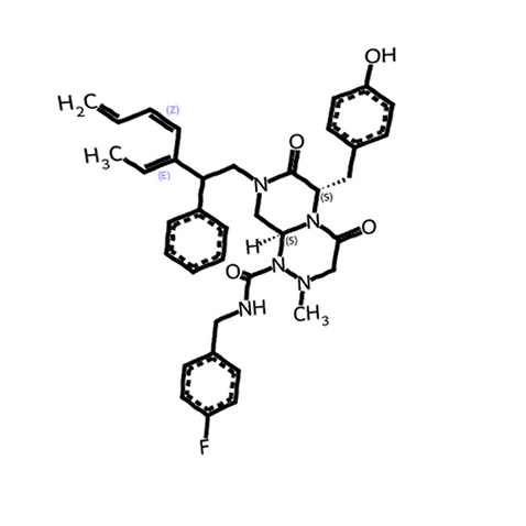 C=C/C=C\C(=C/C)C(CN1C[C@H]2N(C(=O)CN(C)N2C(=O)NCc2ccc(F)cc2)[C@@H](Cc2ccc(O)cc2)C1=O)c1ccccc1